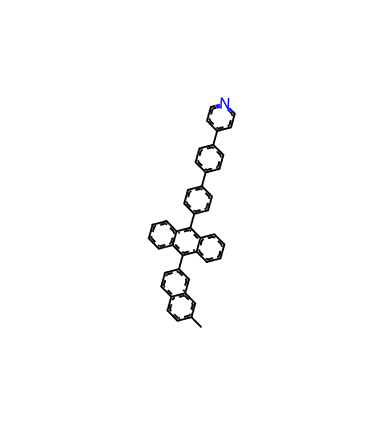 Cc1ccc2ccc(-c3c4ccccc4c(-c4ccc(-c5ccc(-c6ccncc6)cc5)cc4)c4ccccc34)cc2c1